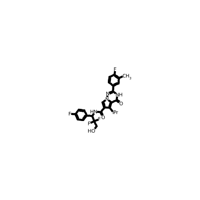 Cc1cc(-c2nn3cc(C(=O)NC(c4ccc(F)cc4)C(F)(F)CO)c(C(C)C)c3c(=O)[nH]2)ccc1F